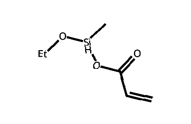 C=CC(=O)O[SiH](C)OCC